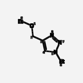 CCOCc1cn(CC)nn1